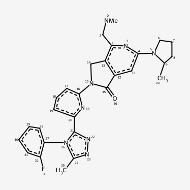 CNCc1nc(N2CCCC2C)cc2c1CN(c1cccc(-c3nnc(C)n3-c3ccccc3F)n1)C2=O